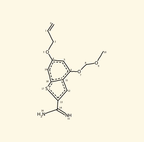 C=CCOc1cc(OCOC)c2cc(C(=N)N)sc2c1